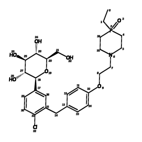 CCP1(=O)CCN(CCOc2ccc(Cc3cc([C@@H]4O[C@H](CO)[C@@H](O)[C@H](O)[C@H]4O)ccc3Cl)cc2)CC1